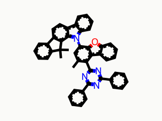 Cc1cc(-n2c3ccccc3c3ccc4c(c32)C(C)(C)c2ccccc2-4)c2oc3ccccc3c2c1-c1nc(-c2ccccc2)nc(-c2ccccc2)n1